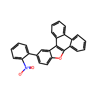 O=[N+]([O-])c1ccccc1-c1ccc2oc3c4ccccc4c4ccccc4c3c2c1